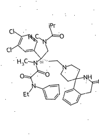 CCN(C(=O)C(=O)N(C)[C@](CCN1CCC2(CC1)NC(=O)Cc1ccccc12)(CN(C)C(=O)C(C)C)c1ccc(Cl)c(Cl)c1)c1ccccc1